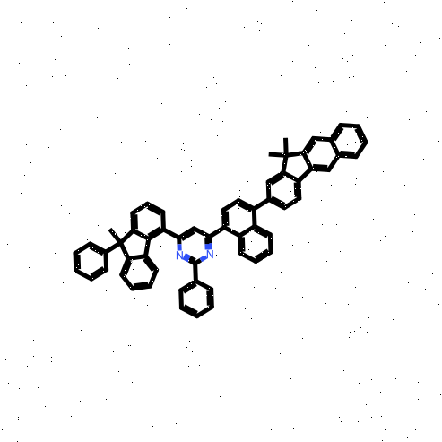 CC1(C)c2cc(-c3ccc(-c4cc(-c5cccc6c5-c5ccccc5C6(C)c5ccccc5)nc(-c5ccccc5)n4)c4ccccc34)ccc2-c2cc3ccccc3cc21